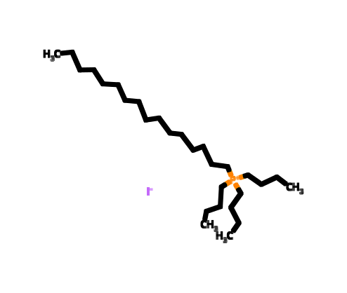 CCCCCCCCCCCCCCCC[P+](CCCC)(CCCC)CCCC.[I-]